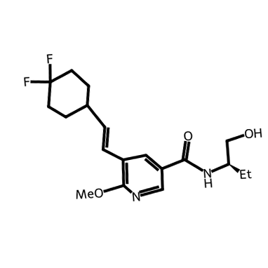 CC[C@H](CO)NC(=O)c1cnc(OC)c(/C=C/C2CCC(F)(F)CC2)c1